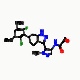 COc1cc(OC)c(F)c(C2CCc3c(-c4c(NC(=O)C5CO5)cnn4C)n[nH]c3C2)c1F